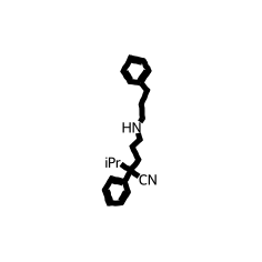 CC(C)C(C#N)(CCCNCCCc1ccccc1)c1ccccc1